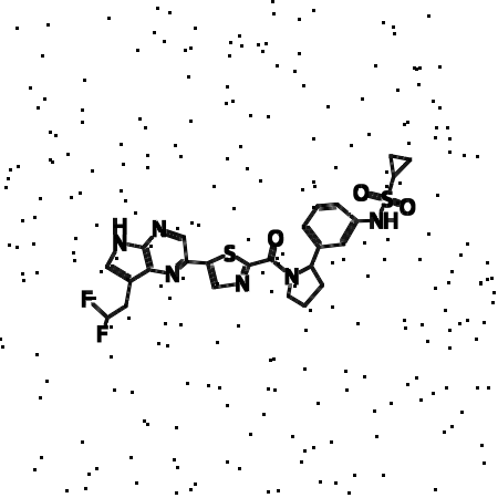 O=C(c1ncc(-c2cnc3[nH]cc(CC(F)F)c3n2)s1)N1CCCC1c1cccc(NS(=O)(=O)C2CC2)c1